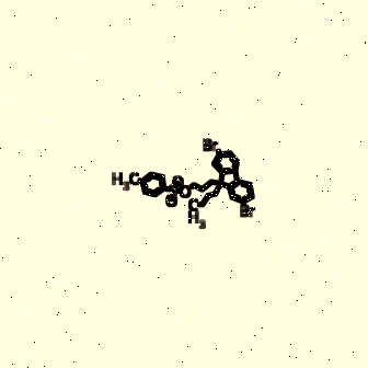 CCCCC1(CCCOS(=O)(=O)c2ccc(C)cc2)c2cc(Br)ccc2-c2ccc(Br)cc21